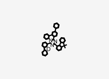 CC1(C)c2ccccc2-c2c(-c3nc(-c4ccc(-c5ccccc5)cc4-c4ccccc4)nc(-c4cccc5c4oc4ccccc45)n3)cccc21